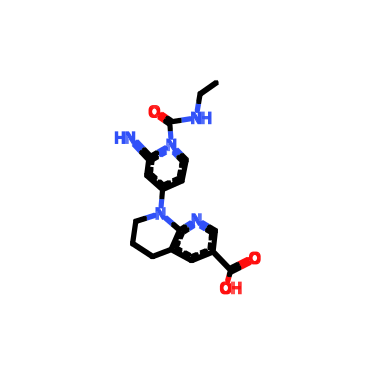 CCNC(=O)n1ccc(N2CCCc3cc(C(=O)O)cnc32)cc1=N